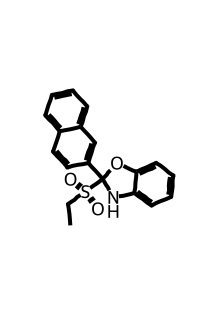 CCS(=O)(=O)C1(c2ccc3ccccc3c2)Nc2ccccc2O1